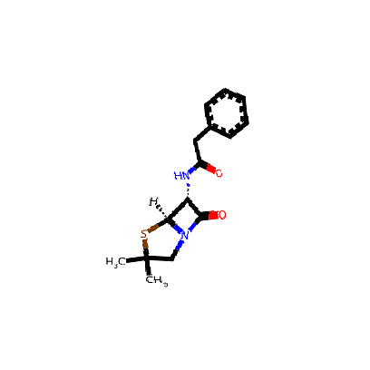 CC1(C)CN2C(=O)[C@@H](NC(=O)Cc3ccccc3)[C@@H]2S1